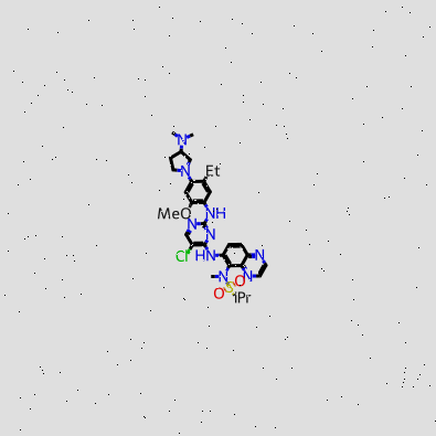 CCc1cc(Nc2ncc(Cl)c(Nc3ccc4nccnc4c3N(C)S(=O)(=O)C(C)C)n2)c(OC)cc1N1CCC(N(C)C)C1